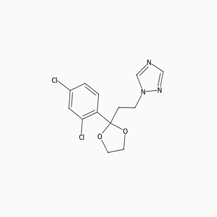 Clc1ccc(C2(CCn3cncn3)OCCO2)c(Cl)c1